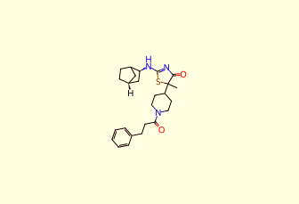 CC1(C2CCN(C(=O)CCc3ccccc3)CC2)SC(N[C@H]2C[C@@H]3CCC2C3)=NC1=O